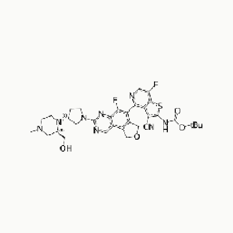 CN1CCN([C@@H]2CCN(c3ncc4c5c(c(-c6ncc(F)c7sc(NC(=O)OC(C)(C)C)c(C#N)c67)c(F)c4n3)COC5)C2)[C@@H](CO)C1